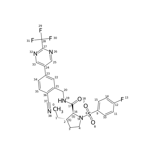 CC[C@H]1CCN(S(=O)(=O)c2ccc(F)cc2)[C@@H]1C(=O)NCc1cc(-c2cnc(C(F)(F)F)nc2)ccc1C#N